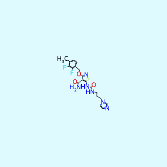 Cc1ccc(COc2nsc(NC(=O)NCCCn3ccnc3)c2C(N)=O)c(F)c1F